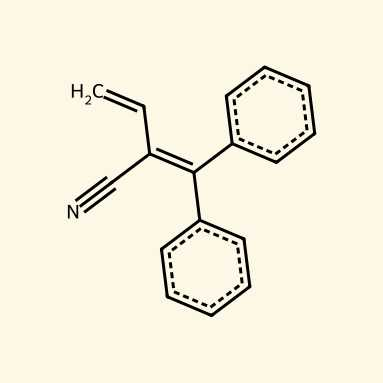 C=CC(C#N)=C(c1ccccc1)c1ccccc1